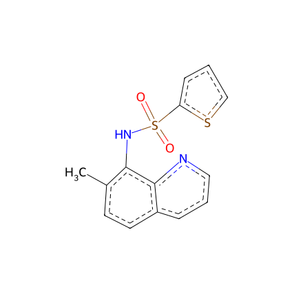 Cc1ccc2cccnc2c1NS(=O)(=O)c1cccs1